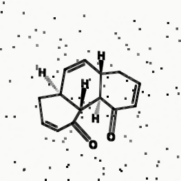 O=C1C=CC[C@H]2C=C[C@@H]3CC=CC(=O)[C@H]3[C@H]12